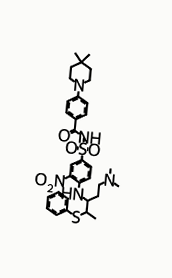 CC(Sc1ccccc1)C(CCN(C)C)Nc1ccc(S(=O)(=O)NC(=O)c2ccc(N3CCC(C)(C)CC3)cc2)cc1[N+](=O)[O-]